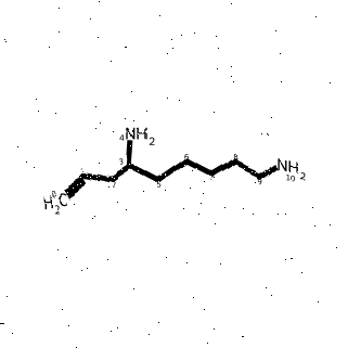 C=CCC(N)CCCCCN